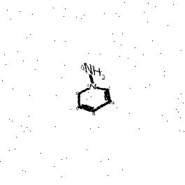 NN1C=[C]C=CC1